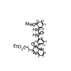 CCOC(=O)CCc1nc2cccnc2n(-c2cccc(NC(=O)Nc3ccccc3OC)c2)c1=O